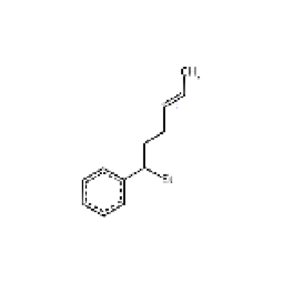 C/C=C/CCC(CC)c1ccccc1